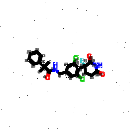 CC(C)(C(=O)NCc1cc(Cl)c(C2(F)CCC(=O)NC2=O)c(Cl)c1)c1ccccc1